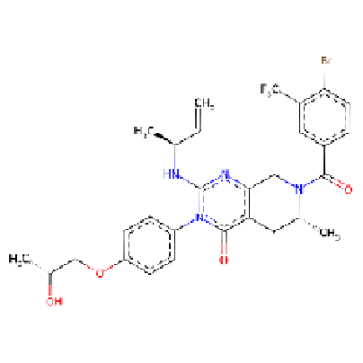 C=C[C@H](C)Nc1nc2c(c(=O)n1-c1ccc(OC[C@@H](C)O)cc1)C[C@@H](C)N(C(=O)c1ccc(Br)c(C(F)(F)F)c1)C2